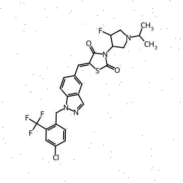 CC(C)N1CC(F)C(N2C(=O)SC(=Cc3ccc4c(cnn4Cc4ccc(Cl)cc4C(F)(F)F)c3)C2=O)C1